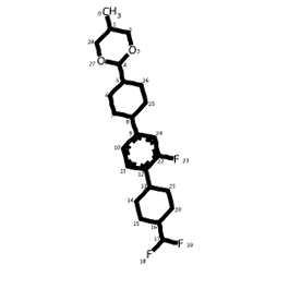 CC1COC(C2CCC(c3ccc(C4CCC(C(F)F)CC4)c(F)c3)CC2)OC1